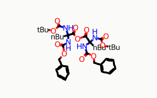 CCCCC(NC(=O)OCc1ccccc1)(NC(=O)OC(C)(C)C)C(=O)OC(=O)C(CCCC)(NC(=O)OCc1ccccc1)NC(=O)OC(C)(C)C